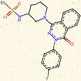 CCS(=O)(=O)NC1CCCN(c2nn(-c3ccc(F)cc3)c(=O)c3ccccc23)C1